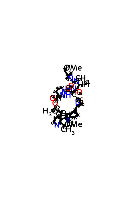 CCn1c(-c2cccnc2[C@H](C)OC)c2c3cc(ccc31)-c1csc(n1)C[C@H](NC(=O)[C@H](C(C)C)N(C)C(=O)N1CC(COC)C1)C(=O)N1CCC[C@H](N1)C(=O)OCC(C)(C)C2